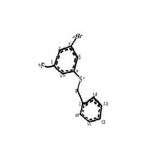 Fc1cc(Br)cc(SCc2ccccc2)c1